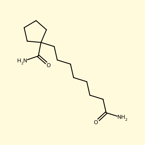 NC(=O)CCCCCCCC1(C(N)=O)CCCC1